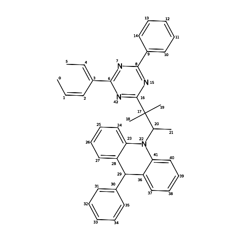 C/C=C\C(=C/C)c1nc(-c2ccccc2)nc(C(C)(C)C(C)N2c3ccccc3C(c3ccccc3)c3ccccc32)n1